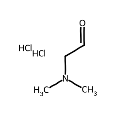 CN(C)CC=O.Cl.Cl